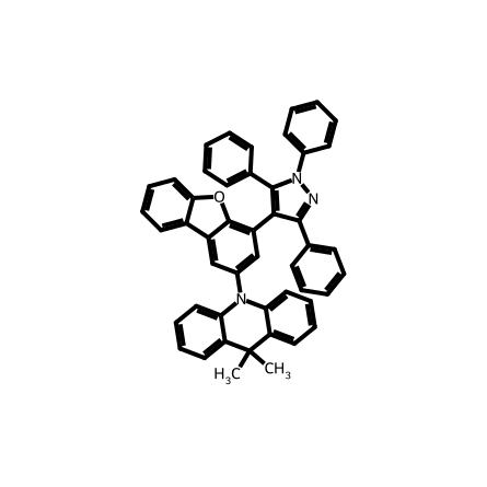 CC1(C)c2ccccc2N(c2cc(-c3c(-c4ccccc4)nn(-c4ccccc4)c3-c3ccccc3)c3oc4ccccc4c3c2)c2ccccc21